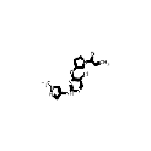 C=CC(=O)N1CCC(Oc2nc(Nc3cnn(C)c3)ncc2Cl)C1